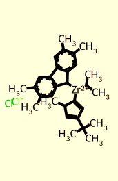 C[C](C)=[Zr+2]([C]1=CC(C(C)(C)C)=CC1C)[CH]1c2cc(C)c(C)cc2-c2cc(C)c(C)cc21.[Cl-].[Cl-]